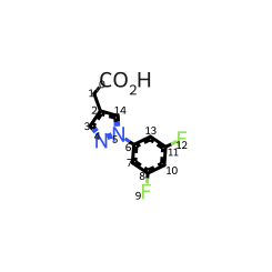 O=C(O)Cc1cnn(-c2cc(F)cc(F)c2)c1